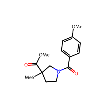 COC(=O)C1(SC)CCN(C(=O)c2ccc(OC)cc2)C1